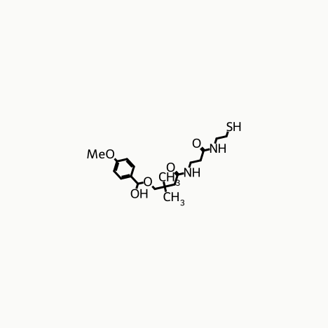 COc1ccc(C(O)OCC(C)(C)CC(=O)NCCC(=O)NCCS)cc1